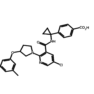 Cc1cccc(OC2CCN(c3ncc(Cl)cc3C(=O)NC3(c4ccc(C(=O)O)cc4)CC3)C2)c1